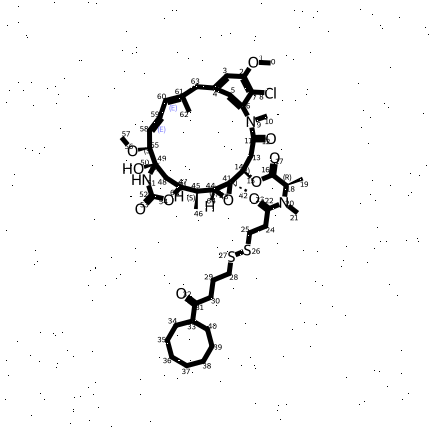 COc1cc2cc(c1Cl)N(C)C(=O)C[C@@H](OC(=O)[C@@H](C)N(C)C(=O)CCSSCCCC(=O)C1CCCCCCC1)[C@@]1(C)O[C@@H]1[C@@H](C)[C@H]1C[C@](O)(NC(=O)O1)[C@@H](OC)/C=C/C=C(\C)C2